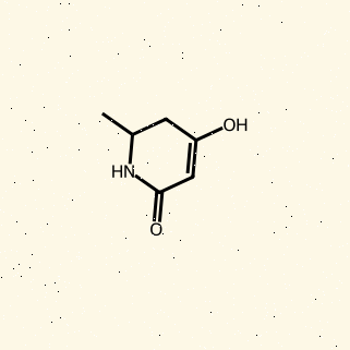 CC1CC(O)=CC(=O)N1